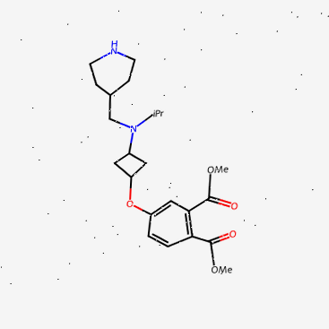 COC(=O)c1ccc(OC2CC(N(CC3CCNCC3)C(C)C)C2)cc1C(=O)OC